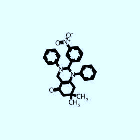 CC1(C)CC(=O)C2=C(C1)N(c1ccccc1)C(c1cccc([N+](=O)[O-])c1)N(c1ccccc1)C2